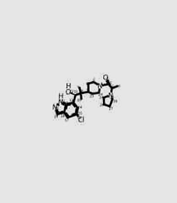 CC(C(=O)N1CCC(C(C)(C)[C@H](O)c2cc(Cl)cc3cn[nH]c23)CC1)N1CCCC1